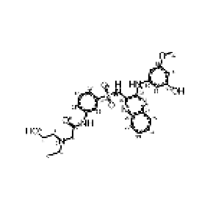 CCN(CCO)CC(=O)Nc1cccc(S(=O)(=O)Nc2nc3ccccc3nc2Nc2cc(O)cc(OC)c2)c1